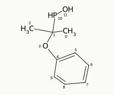 CC(C)(Oc1ccccc1)PO